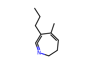 CCCC1=C=NCCC=C1C